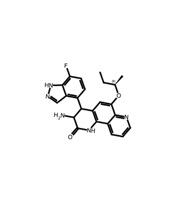 CC[C@@H](C)Oc1cc2c(c3cccnc13)NC(=O)C(N)C2c1ccc(F)c2[nH]ncc12